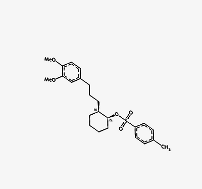 COc1ccc(CCC[C@@H]2CCCC[C@@H]2OS(=O)(=O)c2ccc(C)cc2)cc1OC